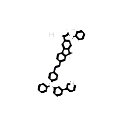 Cc1c(C)n(-c2ccccc2)c2cc3c(cc12)-c1ccc(/C=C/c2ccc(N(c4ccccc4)c4cccc(-c5cccnc5)c4)cc2)cc1C3(C)C